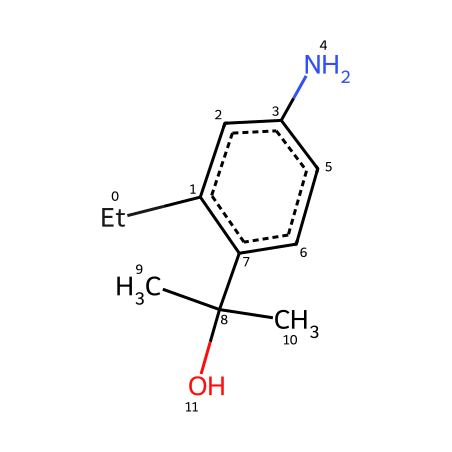 CCc1cc(N)ccc1C(C)(C)O